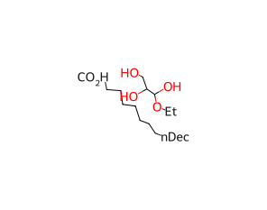 CCCCCCCCCCCCCCCCCC(=O)O.CCOC(O)C(O)CO